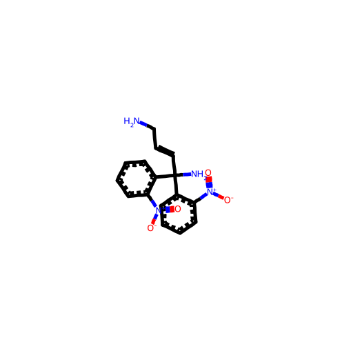 NCC=CC(N)(c1ccccc1[N+](=O)[O-])c1ccccc1[N+](=O)[O-]